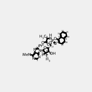 CNc1ncnc2c1ncn2[C@@H]1O[C@H](COP(=O)(N[C@H](C)C(=O)OC(C)C)Oc2cccc3ccccc23)[C@@H](O)[C@@]1(C)F